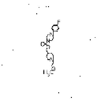 COCCN1CCC(COC(=O)N2CCN(c3ccc(F)cc3)CC2)CC1